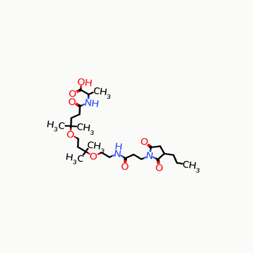 CCCC1CC(=O)N(CCC(=O)NCCOC(C)(C)CCOC(C)(C)CCC(=O)NC(C)C(=O)O)C1=O